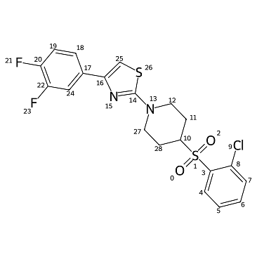 O=S(=O)(c1ccccc1Cl)C1CCN(c2nc(-c3ccc(F)c(F)c3)cs2)CC1